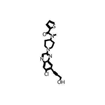 CN(C(=O)c1cccs1)C1CCN(c2cnc3cc(Cl)c(C#CCO)cc3n2)CC1